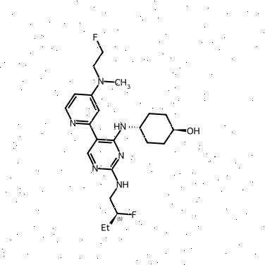 CC[C@H](F)CNc1ncc(-c2cc(N(C)CCF)ccn2)c(N[C@H]2CC[C@H](O)CC2)n1